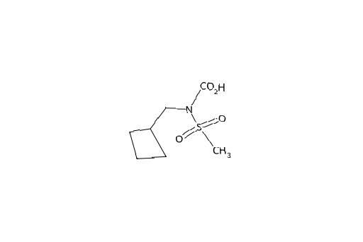 CS(=O)(=O)N(CC1CCC1)C(=O)O